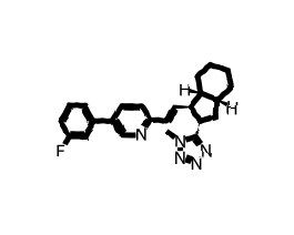 Cn1nnnc1[C@H]1C[C@H]2CCCC[C@H]2[C@@H]1C=Cc1ccc(-c2cccc(F)c2)cn1